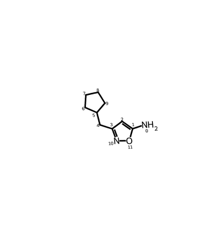 Nc1cc(CC2CCCC2)no1